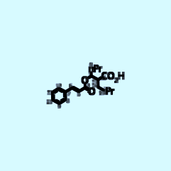 CCCC(OC(=O)C=Cc1ccccc1)C(CC(C)C)C(=O)O